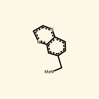 CNCc1ccc2nccnc2c1